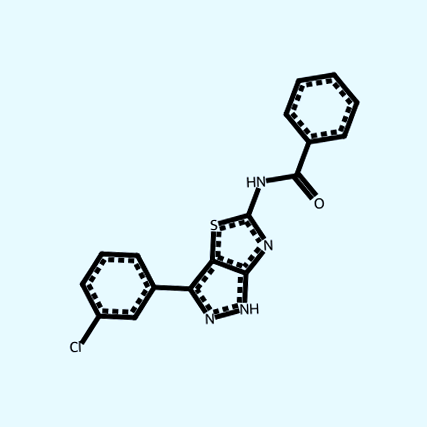 O=C(Nc1nc2[nH]nc(-c3cccc(Cl)c3)c2s1)c1ccccc1